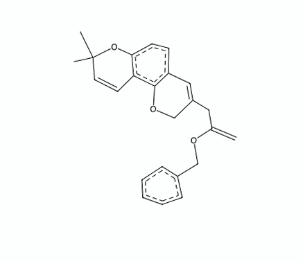 C=C(CC1=Cc2ccc3c(c2OC1)C=CC(C)(C)O3)OCc1ccccc1